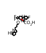 O=C(O)[C@@H]1c2cc(F)ccc2[C@@H]2CCC3(CC(F)(F)C3)CC23C[C@@H](OCCCCc2ccc4c(n2)NCCC4)CN13